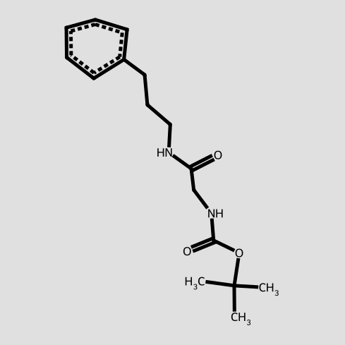 CC(C)(C)OC(=O)NCC(=O)NCCCc1ccccc1